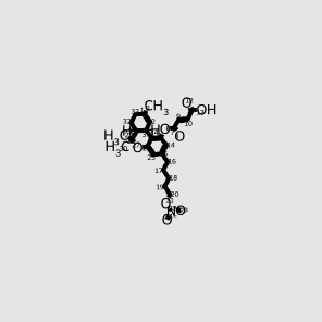 CC1=C[C@H]2c3c(OC(=O)/C=C/C(=O)O)cc(CCCCCO[N+](=O)[O-])cc3OC(C)(C)[C@@H]2CC1